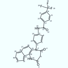 O=C1CC(=O)N(c2ccc(NC(=O)c3ccc(C(F)(F)F)cc3)cc2)c2ccc3ccccc3c2N1